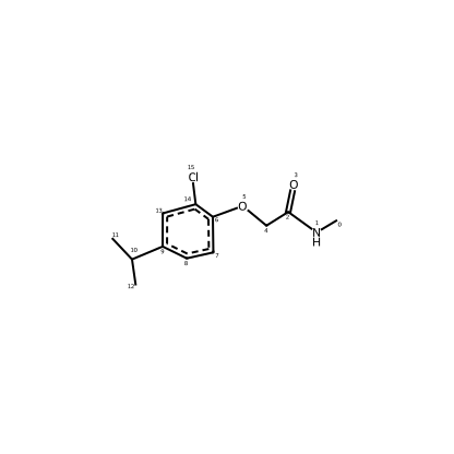 CNC(=O)COc1ccc(C(C)C)cc1Cl